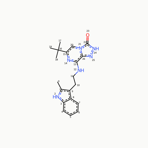 Cc1[nH]c2ccccc2c1CCNc1nc(C(C)(C)C)cn2c(=O)[nH]nc12